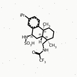 CC(C)c1ccc2c(c1)[C@H](NS(=O)(=O)O)C[C@H]1[C@](C)(CNC(=O)C(F)(F)F)CCC[C@]21C